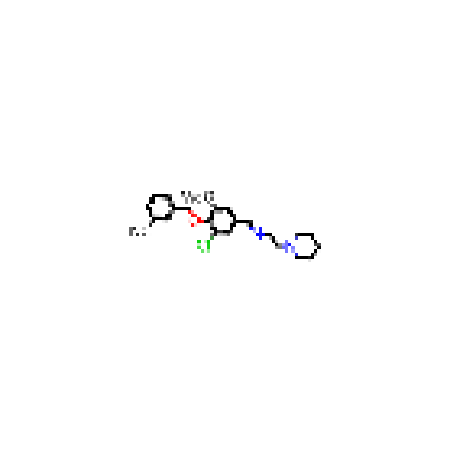 COc1cc(/C=N/CCN2CCCCC2)cc(Cl)c1OCc1cccc(C#N)c1